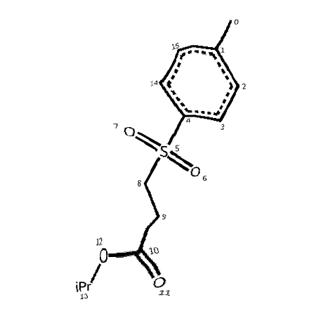 Cc1ccc(S(=O)(=O)CCC(=O)OC(C)C)cc1